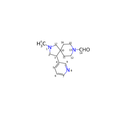 CN1CC(c2cccnc2)C2(CCN(C=O)CC2)C1